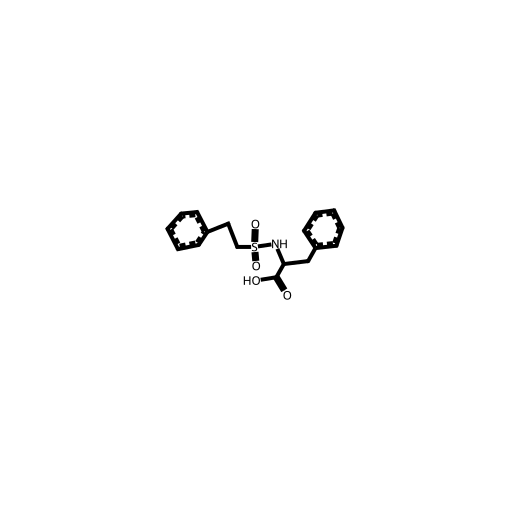 O=C(O)C(Cc1ccccc1)NS(=O)(=O)CCc1ccccc1